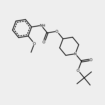 COc1ccccc1NC(=O)OC1CCN(C(=O)OC(C)(C)C)CC1